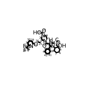 COC[C@]1(O)CCCC[C@H]1n1cnc(C(=O)N2CCN(C(=O)O)C[C@H]2CCOc2cccc(C(F)(F)F)n2)c1-c1ccccc1